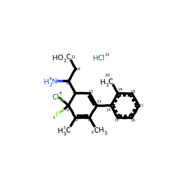 CC1=C(C)C(F)(Cl)C(C(N)CC(=O)O)C=C1c1ccccc1C.Cl